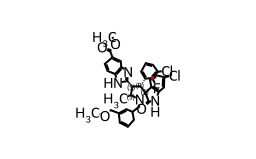 COCC1=CC(CN2[C@@H](C)[C@@H](c3nc4cc(C(=O)OC)ccc4[nH]3)[C@H](c3cccc(Cl)c3F)[C@]23C(=O)Nc2cc(Cl)ccc23)CC=C1